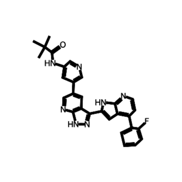 CC(C)(C)C(=O)Nc1cncc(-c2cnc3[nH]nc(-c4cc5c(-c6ccccc6F)ccnc5[nH]4)c3c2)c1